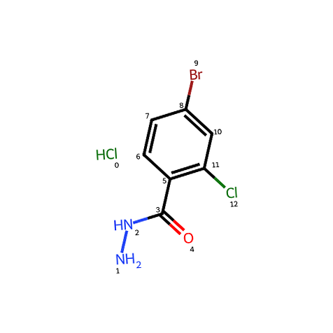 Cl.NNC(=O)c1ccc(Br)cc1Cl